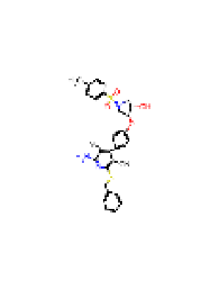 Cc1ccc(S(=O)(=O)N2CC(O)C(Oc3ccc(-c4c(C#N)c(N)nc(SCc5ccccc5)c4C#N)cc3)C2)cc1